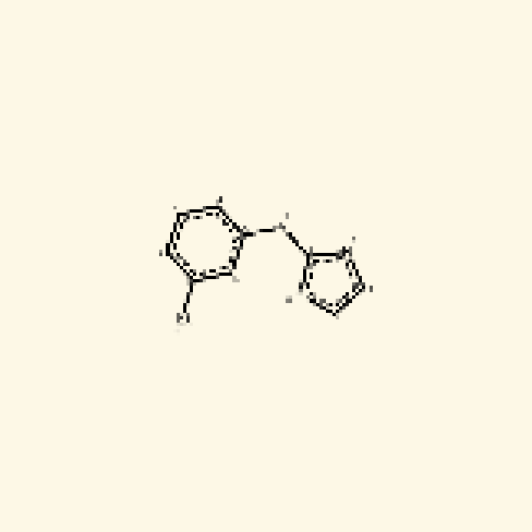 CCc1cccc(Sc2nccs2)c1